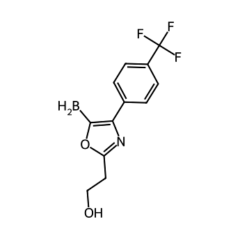 Bc1oc(CCO)nc1-c1ccc(C(F)(F)F)cc1